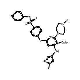 CCN1CCN(c2nc(Sc3ccc(S(=O)(=O)Cc4ccccc4)cc3)nc(Nc3cc(C)[nH]n3)c2OC)CC1